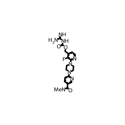 CNC(=O)c1ccc(N2CCN(c3nccc(COC(=O)NC(=N)N)c3F)CC2)nc1